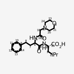 CC(C)C[C@H](NC(=O)C(CCc1ccccc1)NC(=O)CN1CCOCC1)C(=O)O